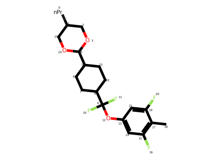 CCCC1COC(C2CCC(C(F)(F)Oc3cc(F)c(C)c(F)c3)CC2)OC1